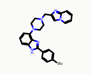 CC(C)(C)c1ccc(-c2nc3c(N4CCN(Cc5cn6ccccc6n5)CC4)cccc3[nH]2)cc1